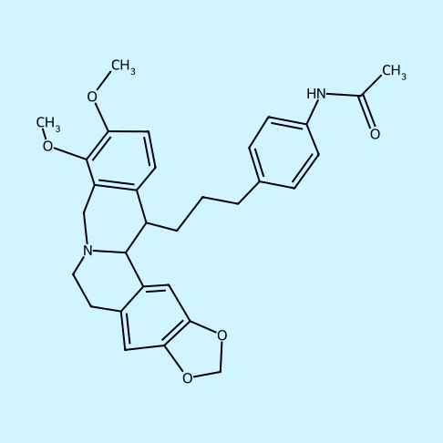 COc1ccc2c(c1OC)CN1CCc3cc4c(cc3C1C2CCCc1ccc(NC(C)=O)cc1)OCO4